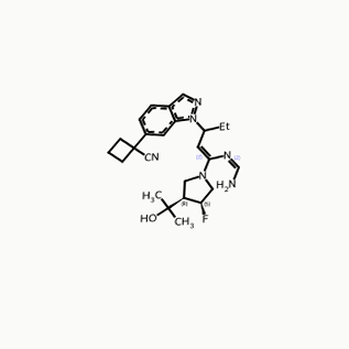 CCC(/C=C(\N=C/N)N1C[C@@H](F)[C@@H](C(C)(C)O)C1)n1ncc2ccc(C3(C#N)CCC3)cc21